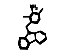 Cc1ccc(CN2c3ccccc3C3C=CC=CC32)c(C)c1N